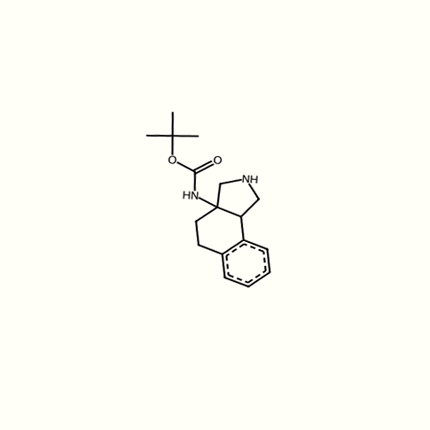 CC(C)(C)OC(=O)NC12CCc3ccccc3C1CNC2